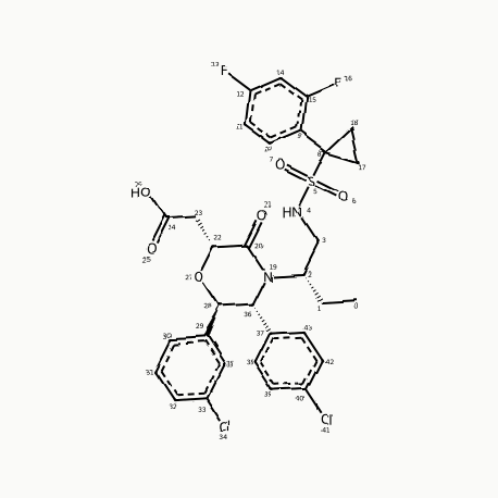 CC[C@@H](CNS(=O)(=O)C1(c2ccc(F)cc2F)CC1)N1C(=O)[C@@H](CC(=O)O)O[C@H](c2cccc(Cl)c2)[C@H]1c1ccc(Cl)cc1